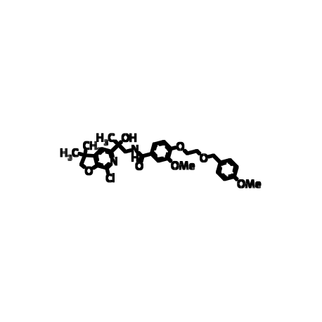 COc1ccc(COCCOc2ccc(C(=O)NCC(C)(O)c3cc4c(c(Cl)n3)OCC4(C)C)cc2OC)cc1